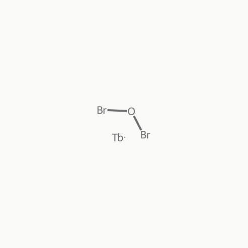 BrOBr.[Tb]